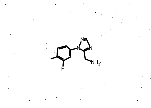 Cc1ccc(-n2ncnc2CN)cc1F